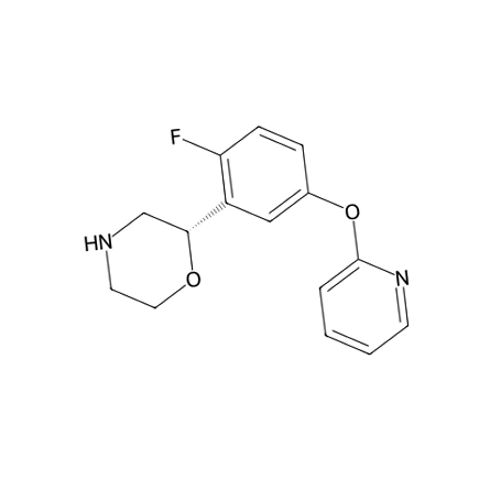 Fc1ccc(Oc2ccccn2)cc1[C@H]1CNCCO1